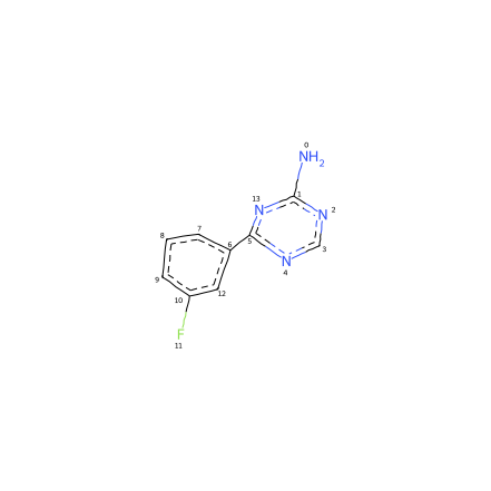 Nc1ncnc(-c2cccc(F)c2)n1